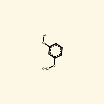 CCCOc1cccc(O[C]=O)c1